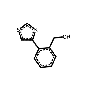 OCc1ccccc1-c1cscn1